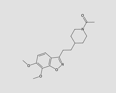 COc1ccc2c(CCC3CCN(C(C)=O)CC3)noc2c1OC